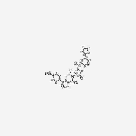 CC(C)C[C@H](NC(=O)c1ccc(C(C)(C)C)cc1)C(=O)N1CCC2C1C(=O)CN2C(=O)c1cncc(-c2cccs2)c1